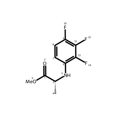 COC(=O)[C@@H](C)Nc1ccc(F)c(F)c1F